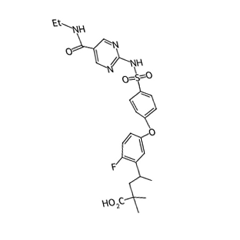 CCNC(=O)c1cnc(NS(=O)(=O)c2ccc(Oc3ccc(F)c(C(C)CC(C)(C)C(=O)O)c3)cc2)nc1